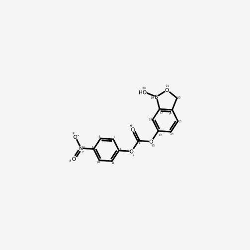 O=C(Oc1ccc([N+](=O)[O-])cc1)Oc1ccc2c(c1)B(O)OC2